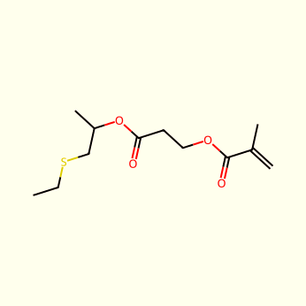 C=C(C)C(=O)OCCC(=O)OC(C)CSCC